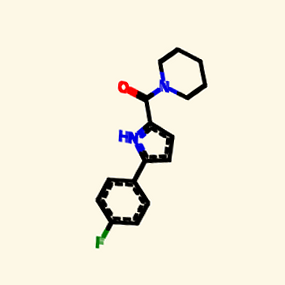 O=C(c1ccc(-c2ccc(F)cc2)[nH]1)N1CCCCC1